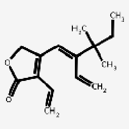 C=CC1=C(/C=C(\C=C)C(C)(C)CC)COC1=O